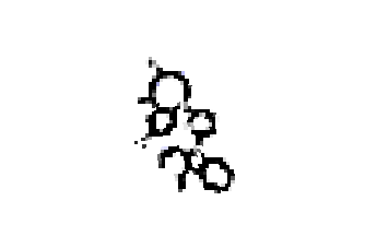 C=Cc1c2c(n(-c3cccc(N4C/C=C\C(C#N)=C/C(C)c5cc(C#N)ccc54)n3)c1/C=C\C)C=CCC=C2